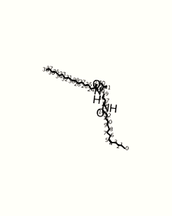 CCCC/C=C\CCCCCCCC(=O)NCCCC[C@H](NC(=O)CCCCCCCCCCCCCCC)C(C)C